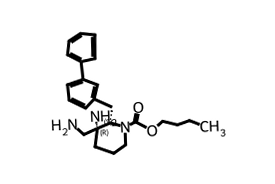 CCCCOC(=O)N1CCC[C@@](N)(CN)[C@@H]1Cc1cccc(-c2ccccc2)c1